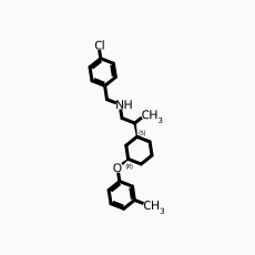 Cc1cccc(O[C@@H]2CCC[C@H](C(C)CNCc3ccc(Cl)cc3)C2)c1